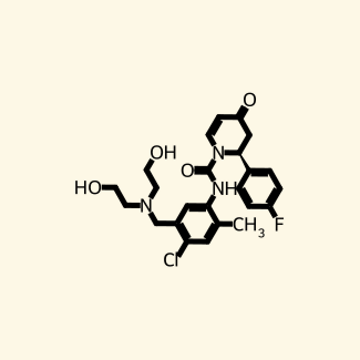 Cc1cc(Cl)c(CN(CCO)CCO)cc1NC(=O)N1C=CC(=O)C[C@H]1c1ccc(F)cc1